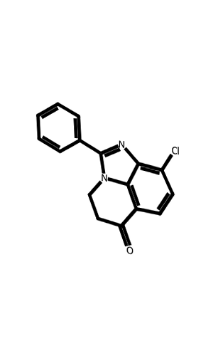 O=C1CCn2c(-c3ccccc3)nc3c(Cl)ccc1c32